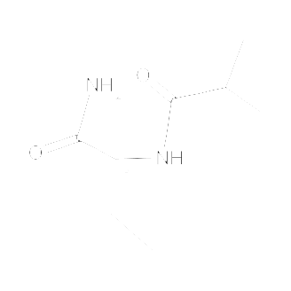 CC[C@@H](NC(=O)C(C)C)C(N)=O